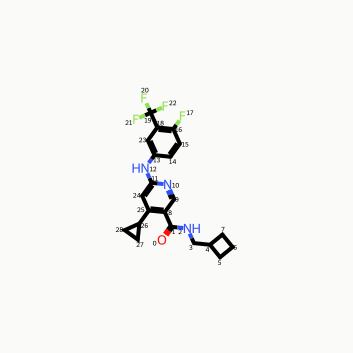 O=C(NCC1CCC1)c1cnc(Nc2ccc(F)c(C(F)(F)F)c2)cc1C1CC1